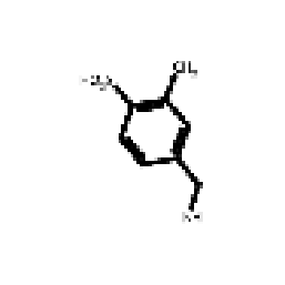 Cc1cc(C[NH])ccc1S(=O)(=O)O